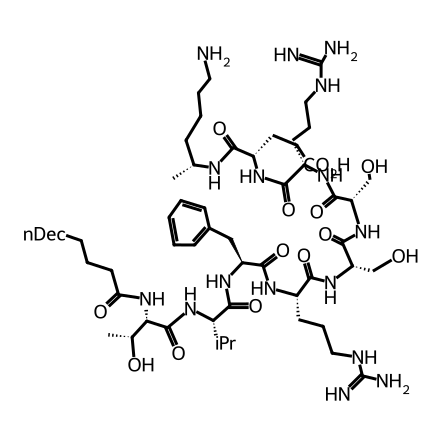 CCCCCCCCCCCCCC(=O)N[C@H](C(=O)N[C@H](C(=O)N[C@@H](Cc1ccccc1)C(=O)N[C@@H](CCCNC(=N)N)C(=O)N[C@@H](CO)C(=O)N[C@@H](CO)C(=O)N[C@@H](CCCNC(=N)N)C(=O)N[C@@H](CCC(=O)O)C(=O)N[C@H](C)CCCCN)C(C)C)[C@@H](C)O